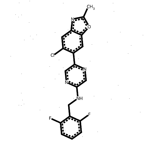 Cc1nc2cc(Cl)c(-c3cnc(NCc4c(F)cccc4F)cn3)cc2o1